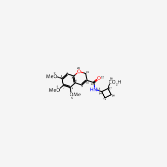 COc1cc2c(c(OC)c1OC)C=C(C(=O)NC1CCC1C(=O)O)CO2